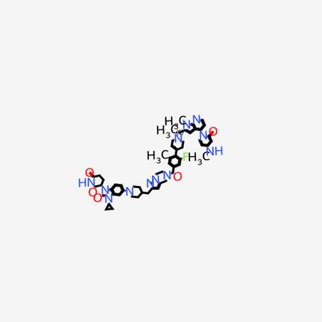 CNc1ccn(-c2ccnc3c2cc([C@H](C)N2CC=C(c4c(C)cc(C(=O)N5CCn6nc(CC7CCN(c8ccc9c(c8)n(C8CC8)c(=O)n9C8CCC(=O)NC8=O)CC7)cc6C5)cc4F)CC2)n3C)c(=O)c1